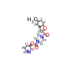 Cc1ccc2oc(C(=O)N3CCN(C(=O)Oc4cccnc4)CC3)cc2c1